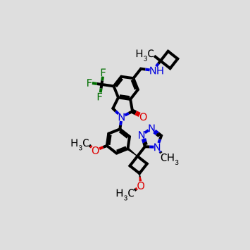 COc1cc(N2Cc3c(cc(CNC4(C)CCC4)cc3C(F)(F)F)C2=O)cc([C@]2(c3nncn3C)C[C@H](OC)C2)c1